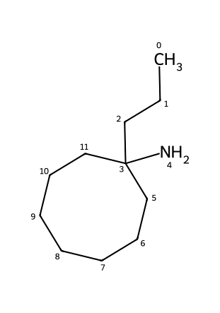 CCCC1(N)CCCCCCC1